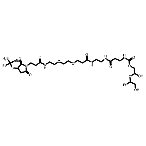 BC(CC)(CCCC)SC1CC(=O)N(CCC(=O)NCCOCCOCCC(=O)NCCNC(=O)CCNC(=O)OCC(O)OC(CC)CO)C1=O